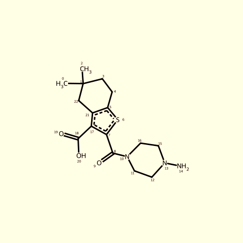 CC1(C)CCc2sc(C(=O)N3CCN(N)CC3)c(C(=O)O)c2C1